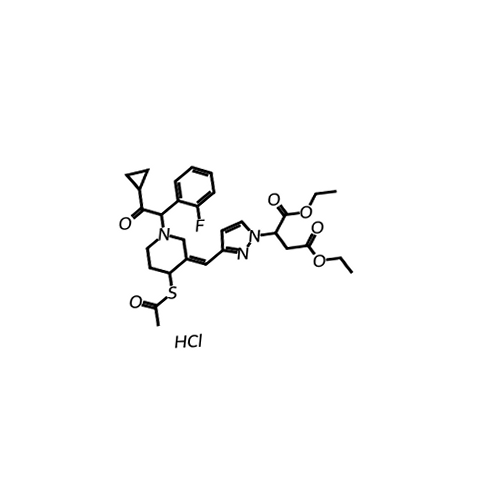 CCOC(=O)CC(C(=O)OCC)n1ccc(/C=C2\CN(C(C(=O)C3CC3)c3ccccc3F)CCC2SC(C)=O)n1.Cl